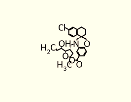 C=C[C@H](O)[C@@H]1OCC[C@H]1CN1C[C@@]2(CCCc3cc(Cl)ccc32)COc2ccc(C(=O)OC)cc21